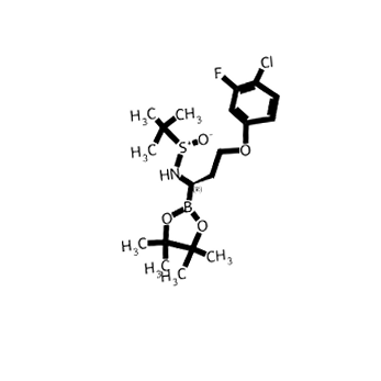 CC(C)(C)[S+]([O-])N[C@@H](CCOc1ccc(Cl)c(F)c1)B1OC(C)(C)C(C)(C)O1